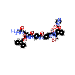 CN1CCN(C(=O)Oc2cc3c(c4ccccc24)[C@H](CBr)CN3C(=O)c2cc3cc(NC(=O)c4ccc(NC(=O)[C@H](CCCNC(N)=O)NC(=O)OCC5c6ccccc6-c6ccccc65)cc4)ccc3[nH]2)CC1